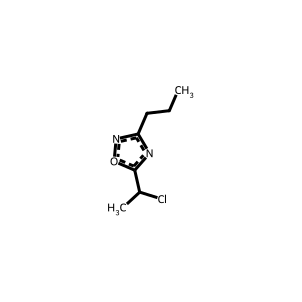 CCCc1noc(C(C)Cl)n1